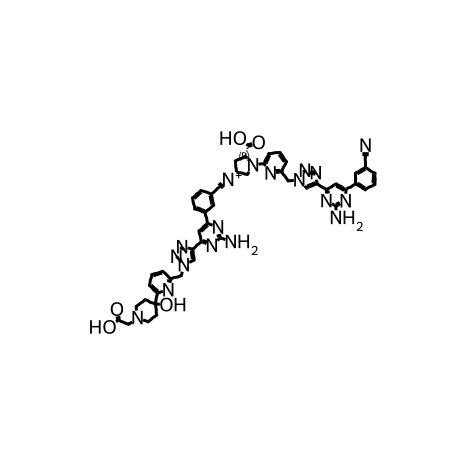 N#Cc1cccc(-c2cc(-c3cn(Cc4cccc(N5CC([N+]#Cc6cccc(-c7cc(-c8cn(Cc9cccc(C%10(O)CCN(CC(=O)O)CC%10)n9)nn8)nc(N)n7)c6)C[C@@H]5C(=O)O)n4)nn3)nc(N)n2)c1